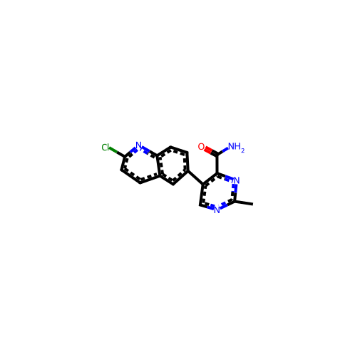 Cc1ncc(-c2ccc3nc(Cl)ccc3c2)c(C(N)=O)n1